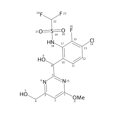 COc1cc(CO)nc(C(O)c2ccc(Cl)c(F)c2NS(=O)(=O)C(F)F)n1